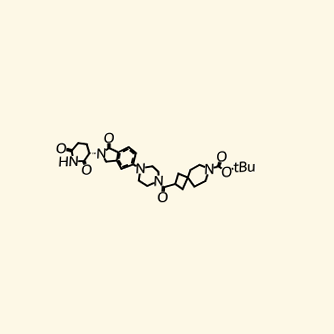 CC(C)(C)OC(=O)N1CCC2(CC1)CC(C(=O)N1CCN(c3ccc4c(c3)CN([C@H]3CCC(=O)NC3=O)C4=O)CC1)C2